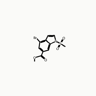 COC(=O)c1cc(Br)c2ccn(S(C)(=O)=O)c2c1